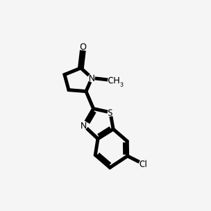 CN1C(=O)CCC1c1nc2ccc(Cl)cc2s1